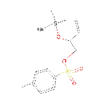 C=CC(COS(=O)(=O)c1ccc(C)cc1)O[Si](C)(C)C(C)(C)C